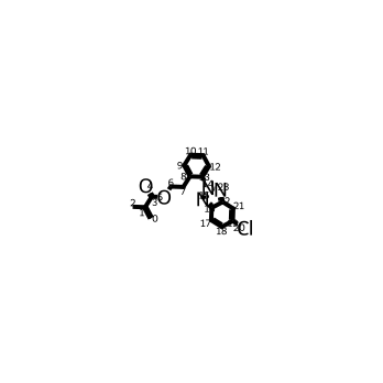 C=C(C)C(=O)OCCc1ccccc1-n1nc2ccc(Cl)cc2n1